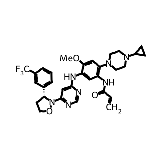 C=CC(=O)Nc1cc(Nc2cc(N3OCC[C@@H]3c3cccc(C(F)(F)F)c3)ncn2)c(OC)cc1N1CCN(C2CC2)CC1